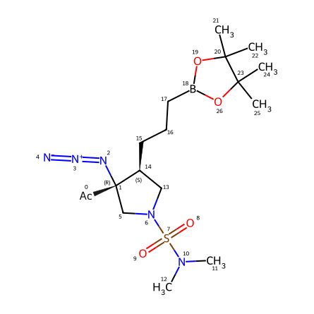 CC(=O)[C@]1(N=[N+]=[N-])CN(S(=O)(=O)N(C)C)C[C@@H]1CCCB1OC(C)(C)C(C)(C)O1